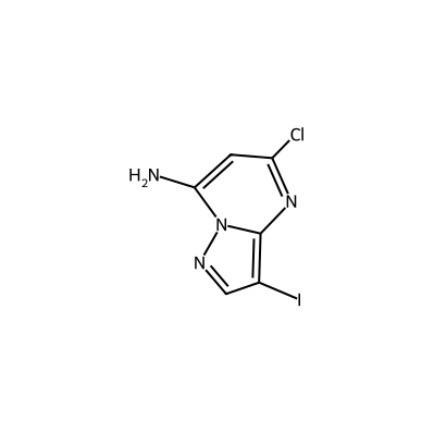 Nc1cc(Cl)nc2c(I)cnn12